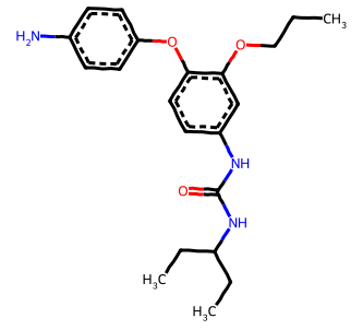 CCCOc1cc(NC(=O)NC(CC)CC)ccc1Oc1ccc(N)cc1